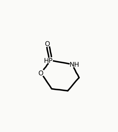 O=[PH]1NCCCO1